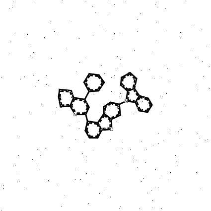 c1ccc(-c2cc(-c3cccc4oc5cc(-n6c7ccccc7c7ccccc76)ccc5c34)nc3ccccc23)cc1